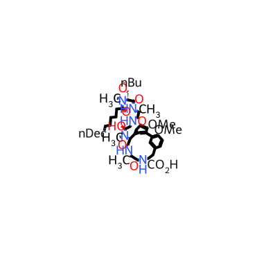 CCCCCCCCCCCCCCCC(=O)N(C)[C@H](COCCCC)C(=O)N[C@H](C)C(=O)NCC(O)N(C)[C@@H]1C(=O)N[C@@H](C)C(=O)N[C@H](C(=O)O)Cc2ccc(OC)c(c2)-c2cc1ccc2OC